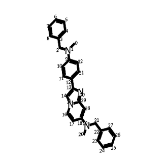 CN(Cc1ccccc1)c1ccc(-c2cn3ccc(N(C)Cc4ccccc4)cc3n2)cc1